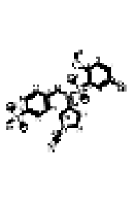 COc1ccc(Br)cc1S(=O)(=O)N(Cc1ccc(S(C)(=O)=O)cc1)[C@@H]1CCN(C#N)C1